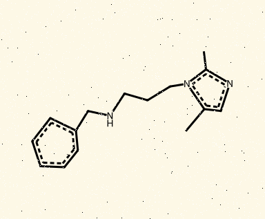 Cc1cnc(C)n1CCCNCc1ccccc1